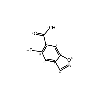 CC(=O)c1cc2occc2cc1F